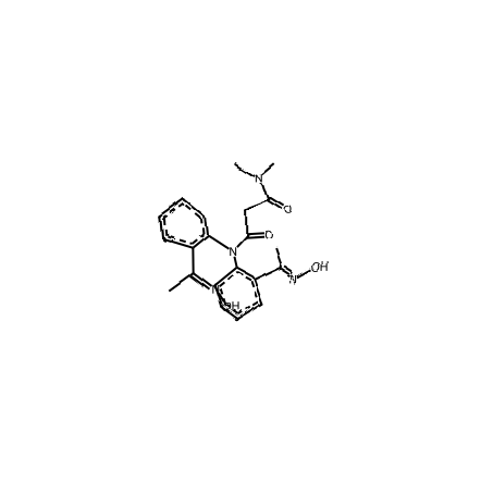 CC(=NO)c1ccccc1N(C(=O)CC(=O)N(C)C)c1ccccc1C(C)=NO